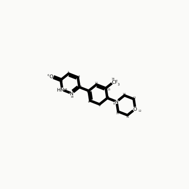 O=c1ccc(C2=CCC(N3CCOCC3)C(C(F)(F)F)=C2)n[nH]1